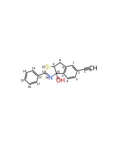 C#Cc1ccc2c(c1)CC1SC(c3ccccc3)=NC21O